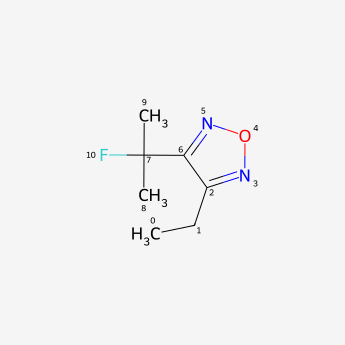 CCc1nonc1C(C)(C)F